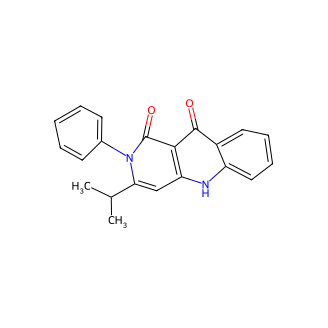 CC(C)c1cc2[nH]c3ccccc3c(=O)c2c(=O)n1-c1ccccc1